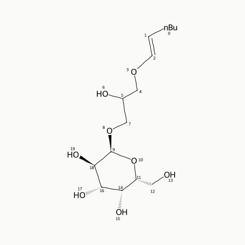 CCCCC=COCC(O)CO[C@H]1O[C@H](CO)[C@H](O)[C@H](O)[C@H]1O